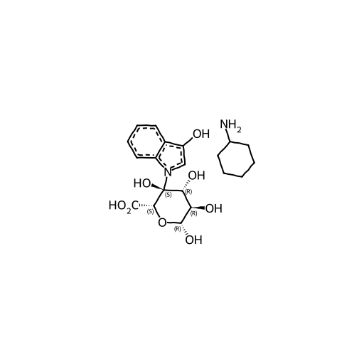 NC1CCCCC1.O=C(O)[C@H]1O[C@@H](O)[C@H](O)[C@@H](O)[C@@]1(O)n1cc(O)c2ccccc21